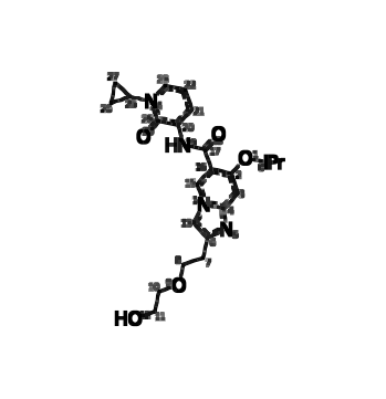 CC(C)Oc1cc2nc(CCOCCO)cn2cc1C(=O)Nc1cccn(C2CC2)c1=O